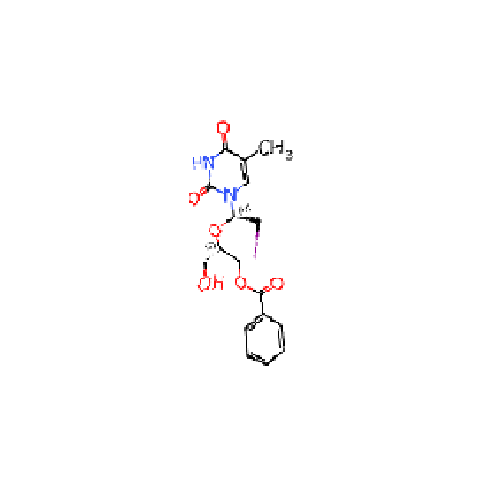 Cc1cn([C@@H](CI)O[C@@H](CO)COC(=O)c2ccccc2)c(=O)[nH]c1=O